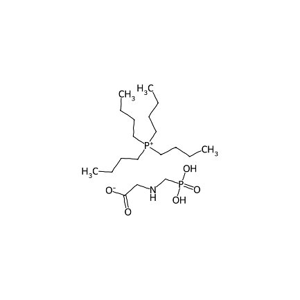 CCCC[P+](CCCC)(CCCC)CCCC.O=C([O-])CNCP(=O)(O)O